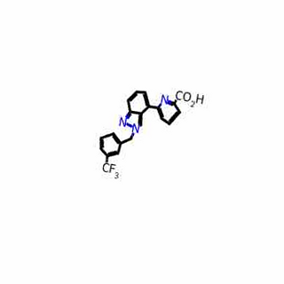 O=C(O)c1cccc(-c2cccc3nn(Cc4cccc(C(F)(F)F)c4)cc23)n1